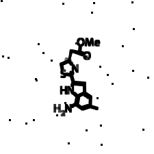 COC(=O)C[C@@H]1CSC(c2cc3cc(C)cc(N)c3[nH]2)=N1